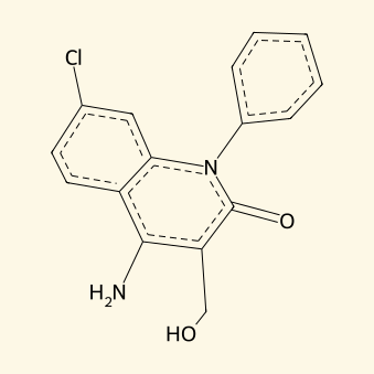 Nc1c(CO)c(=O)n(-c2ccccc2)c2cc(Cl)ccc12